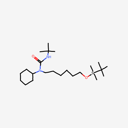 CC(C)(C)NC(=O)N(CCCCCCO[Si](C)(C)C(C)(C)C)C1CCCCC1